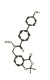 CCCCCCN(Cc1ccc2c(c1)C(=O)OC(C)(C)O2)C(=O)c1ccc(-c2ccc(CCCC)cc2)cc1